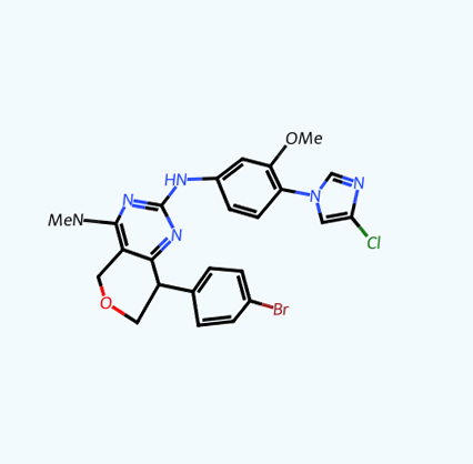 CNc1nc(Nc2ccc(-n3cnc(Cl)c3)c(OC)c2)nc2c1COCC2c1ccc(Br)cc1